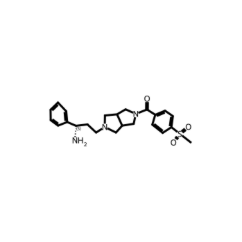 CS(=O)(=O)c1ccc(C(=O)N2CC3CN(CC[C@H](N)c4ccccc4)CC3C2)cc1